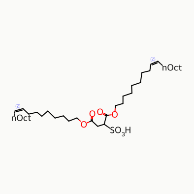 CCCCCCCC/C=C\CCCCCCCCOC(=O)CC(C(=O)OCCCCCCCC/C=C\CCCCCCCC)S(=O)(=O)O